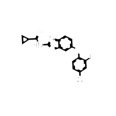 O=Nc1ccc(Oc2ccc3nc(NC(=O)C4CC4)sc3c2)c(F)c1